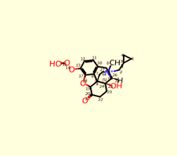 C[N+]1(CC2CC2)CC[C@]23c4c5ccc(OOO)c4OC2C(=O)CC[C@@]3(O)[C@H]1C5